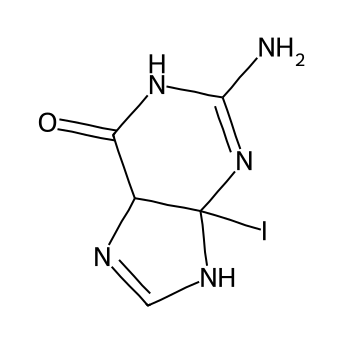 NC1=NC2(I)NC=NC2C(=O)N1